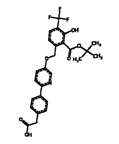 CC(C)(C)OC(=O)c1c(COc2ccc(-c3ccc(CC(=O)O)cc3)nc2)ccc(C(F)(F)F)c1O